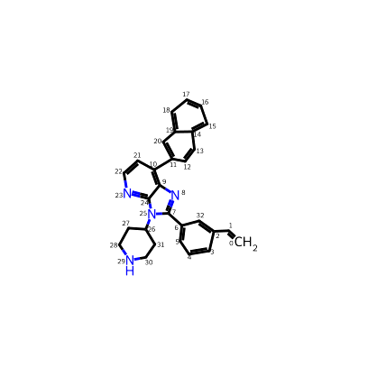 C=Cc1cccc(-c2nc3c(-c4ccc5ccccc5c4)ccnc3n2C2CCNCC2)c1